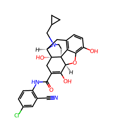 N#Cc1cc(Cl)ccc1NC(=O)C1=C(O)[C@@H]2Oc3c(O)ccc4c3[C@@]23CCN(CC2CC2)[C@H](C4)[C@]3(O)C1